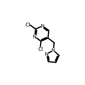 Clc1ncc(Cn2cccn2)c(Cl)n1